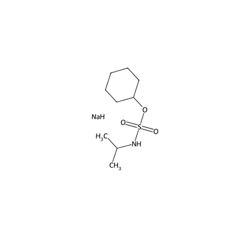 CC(C)NS(=O)(=O)OC1CCCCC1.[NaH]